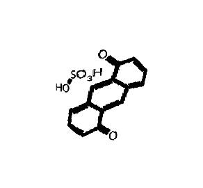 O=C1C=CC=c2cc3c(cc21)=CC=CC3=O.O=S(=O)(O)O